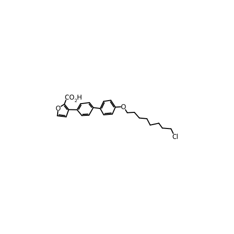 O=C(O)c1occc1-c1ccc(-c2ccc(OCCCCCCCCCl)cc2)cc1